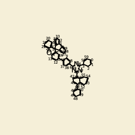 C1=CCC(c2nc(-c3ccc(-c4ccc5c(c4)C4(c6ccccc6O5)c5ccccc5-c5ccccc54)cc3)nc(-c3ccc(-c4ccccc4)c4ccccc34)n2)C=C1